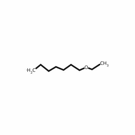 [CH2]CCCCCCOCC